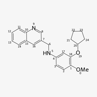 COc1ccc(NCc2cnc3ccccc3c2)cc1OC1CCCC1